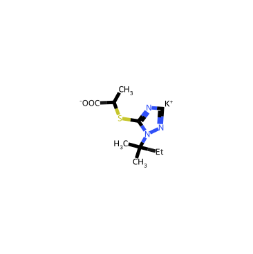 CCC(C)(C)n1ncnc1SC(C)C(=O)[O-].[K+]